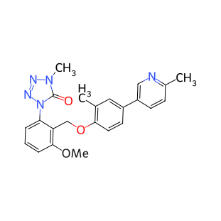 COc1cccc(-n2nnn(C)c2=O)c1COc1ccc(-c2ccc(C)nc2)cc1C